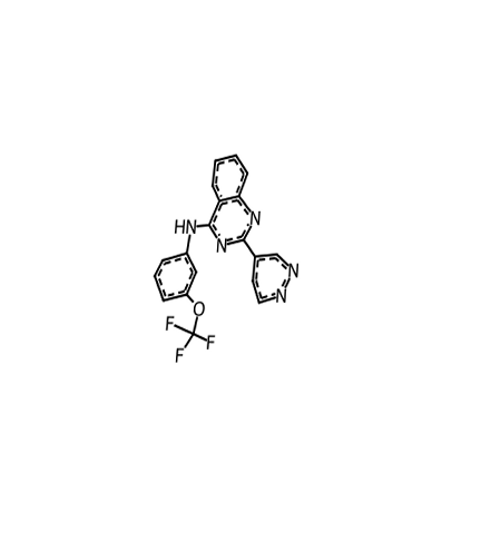 FC(F)(F)Oc1cccc(Nc2nc(-c3ccnnc3)nc3ccccc23)c1